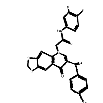 CCc1ccc(C(=O)c2cn(CC(=O)Nc3ccc(F)c(F)c3)c3cc4c(cc3c2=O)OCO4)cc1